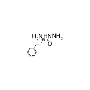 NNC(=O)[C@H](N)CCc1ccccc1